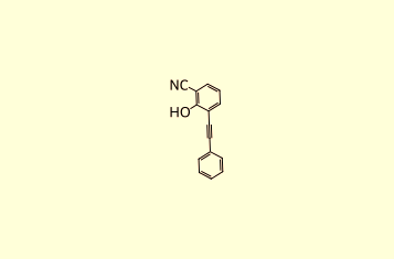 N#Cc1cccc(C#Cc2ccccc2)c1O